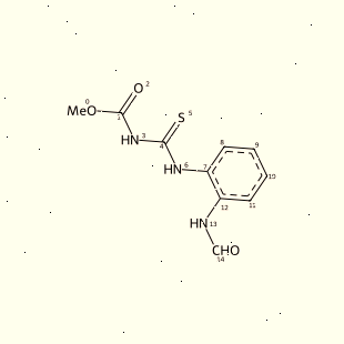 COC(=O)NC(=S)Nc1ccccc1NC=O